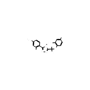 CCn1c(-c2ccc(C#N)cc2F)nnc1C(C)(C)Oc1ccc(F)cc1F